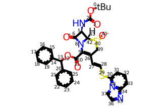 CC(C)(C)OC(=O)N[C@@H]1C(=O)N2C(C(=O)OC(c3ccccc3)c3ccccc3)=C(/C=C/Sc3cccc4nccn34)C[S+]([O-])[C@@H]12